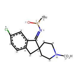 CC(C)(C)[S+]([O-])N=C1c2cc(Cl)ccc2CC12CCN(C(=O)O)CC2